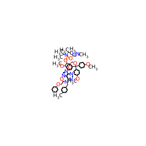 CNCCOP(OC1C(OC)[C@H](n2cnc3c(N(Cc4ccc(C)cc4)C(=O)COc4ccccc4)ncnc32)O[C@@H]1COC(c1ccccc1)(c1ccc(OC)cc1)c1ccc(OC)cc1)N(C(C)C)C(C)C